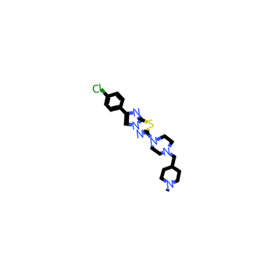 CN1CCC(CN2CCN(c3nn4cc(-c5ccc(Cl)cc5)nc4s3)CC2)CC1